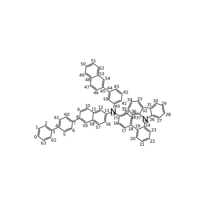 c1ccc(-c2ccc(-c3ccc4cc(N(c5ccc(-c6ccccc6-n6c7ccccc7c7ccccc76)cc5)c5cccc(-c6ccc7ccccc7c6)c5)ccc4c3)cc2)cc1